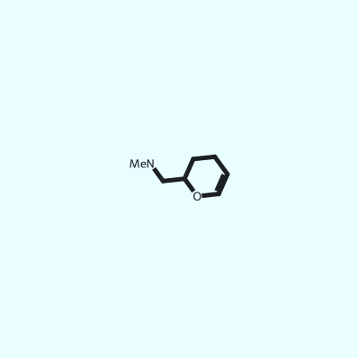 CNCC1CCC=CO1